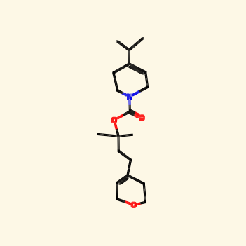 CC(C)C1=CCN(C(=O)OC(C)(C)CCC2=CCOCC2)CC1